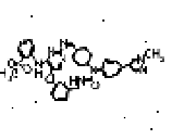 Cn1cc(-c2ccc(N(C(=O)NCc3ccccc3)C3CCC(/C=N\c4ncc(Cl)c(Nc5ccccc5S(C)(=O)=O)n4)CC3)cc2)cn1